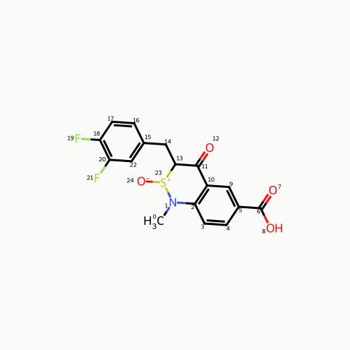 CN1c2ccc(C(=O)O)cc2C(=O)C(Cc2ccc(F)c(F)c2)[S+]1[O-]